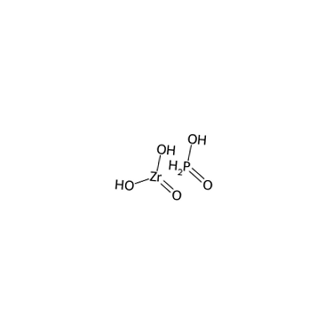 O=[PH2]O.[O]=[Zr]([OH])[OH]